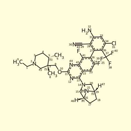 CCN1CC[C@H](C)[C@](C)(COc2nc(N3C[C@H]4CC[C@@H](C3)N4)c3cc(F)c(-c4c(C#N)c(N)cc(Cl)c4C(F)(F)F)c(F)c3n2)C1